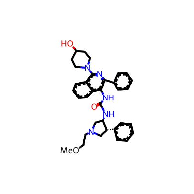 COCCN1C[C@@H](NC(=O)Nc2c(-c3ccccc3)nc(N3CCC(O)CC3)c3ccccc23)[C@H](c2ccccc2)C1